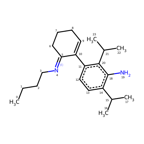 CCCC/N=C1\CCCC=C1c1ccc(C(C)C)c(N)c1C(C)C